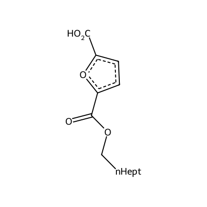 CCCCCCCCOC(=O)c1ccc(C(=O)O)o1